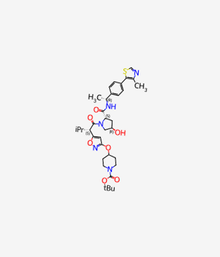 Cc1ncsc1-c1ccc([C@@H](C)NC(=O)[C@@H]2C[C@@H](O)CN2C(=O)[C@H](c2cc(OC3CCN(C(=O)OC(C)(C)C)CC3)no2)C(C)C)cc1